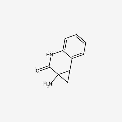 NC12CC1c1ccccc1NC2=O